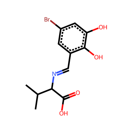 CC(C)C(N=Cc1cc(Br)cc(O)c1O)C(=O)O